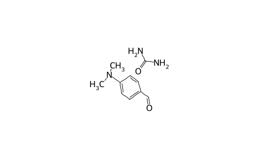 CN(C)c1ccc(C=O)cc1.NC(N)=O